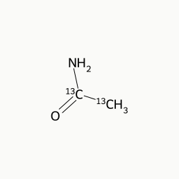 [13CH3][13C](N)=O